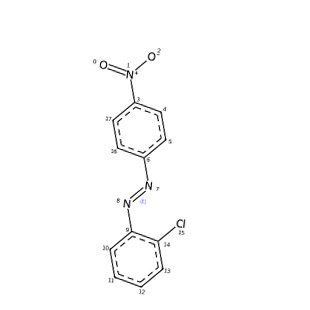 O=[N+]([O-])c1ccc(/N=N/c2ccccc2Cl)cc1